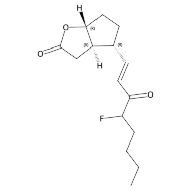 CCCCC(F)C(=O)C=C[C@H]1CC[C@H]2OC(=O)C[C@H]12